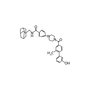 Cc1cc(C(=O)N2CCN(c3ccc(C(=O)NCC45CC6CC(CC(C6)C4)C5)cc3)CC2)ccc1-c1cccc(O)c1